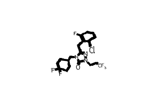 O=c1n(CCC(F)(F)F)nc(Cc2c(F)cccc2Cl)n1CC1CCC(F)(F)CC1